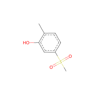 Cc1ccc(S(C)(=O)=O)cc1O